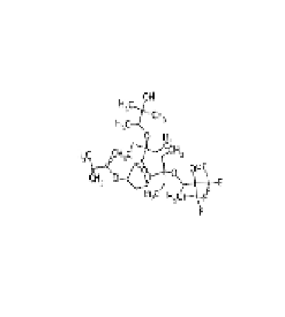 C=C(C)C(=O)OC1CC2OC1C(C(CC)(CC)OC(C)C(C)(C)O)C2C(CC)(CC)OC(C)C(O)(C(F)(F)F)C(F)(F)F